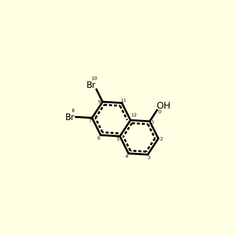 Oc1cccc2cc(Br)c(Br)cc12